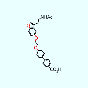 CC(=O)NCCc1coc2ccc(OCCOc3ccc(-c4ccc(C(=O)O)cc4)cc3)cc12